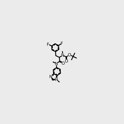 CN(C(=O)C(Cc1cc(F)cc(F)c1)N(C)C(=O)OC(C)(C)C)c1ccc2c(c1)ncn2C